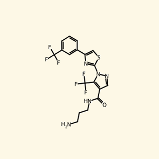 NCCCNC(=O)c1cnn(-c2nc(-c3cccc(C(F)(F)F)c3)cs2)c1C(F)(F)F